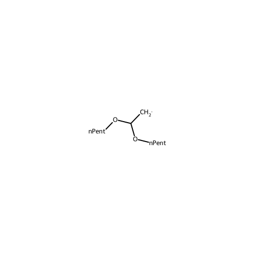 [CH2]C(OCCCCC)OCCCCC